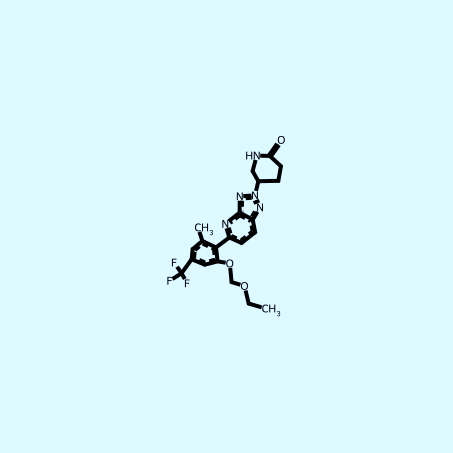 CCOCOc1cc(C(F)(F)F)cc(C)c1-c1ccc2nn(C3CCC(=O)NC3)nc2n1